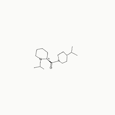 CC(C)C1CCN(C(=O)[C@@H]2CCCCN2C(C)C)CC1